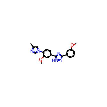 COc1cccc(-c2n[nH]c(-c3ccc(-n4cnc(C)c4)c(OC)c3)n2)c1